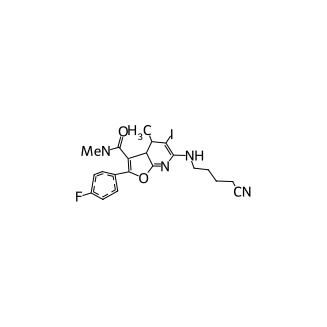 CNC(=O)C1=C(c2ccc(F)cc2)OC2=NC(NCCCCC#N)=C(I)C(C)C21